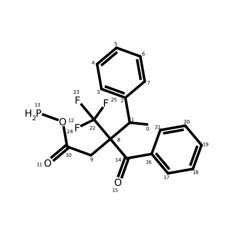 CC(c1ccccc1)C(CC(=O)OP)(C(=O)c1ccccc1)C(F)(F)F